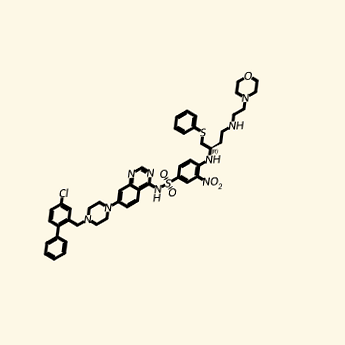 O=[N+]([O-])c1cc(S(=O)(=O)Nc2ncnc3cc(N4CCN(Cc5cc(Cl)ccc5-c5ccccc5)CC4)ccc23)ccc1N[C@H](CCNCCN1CCOCC1)CSc1ccccc1